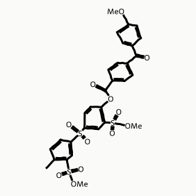 COc1ccc(C(=O)c2ccc(C(=O)Oc3ccc(S(=O)(=O)c4ccc(C)c(S(=O)(=O)OC)c4)cc3S(=O)(=O)OC)cc2)cc1